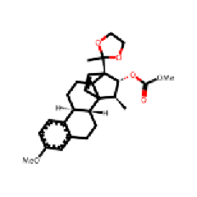 COC(=O)O[C@@H]1[C@@H](C)C23C=C[C@@]1(C1(C)OCCO1)[C@@]2(C)CC[C@@H]1c2ccc(OC)cc2CC[C@H]13